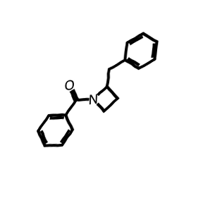 O=C(c1ccccc1)N1CCC1Cc1ccccc1